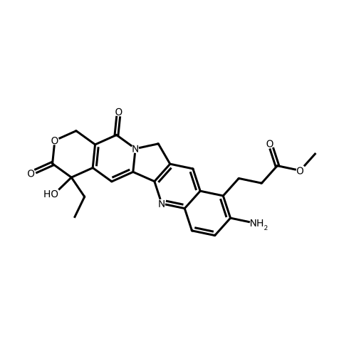 CCC1(O)C(=O)OCc2c1cc1n(c2=O)Cc2cc3c(CCC(=O)OC)c(N)ccc3nc2-1